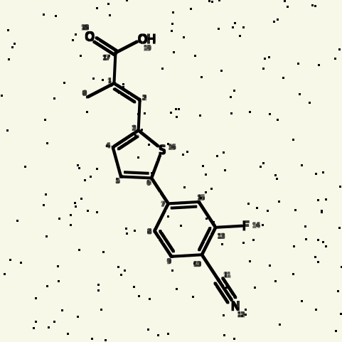 C/C(=C\c1ccc(-c2ccc(C#N)c(F)c2)s1)C(=O)O